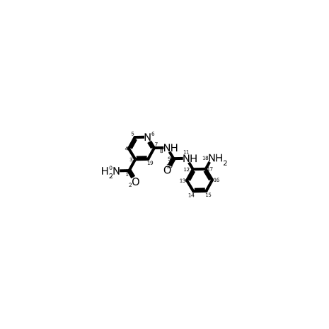 NC(=O)c1ccnc(NC(=O)Nc2ccccc2N)c1